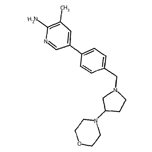 Cc1cc(-c2ccc(CN3CCC(N4CCOCC4)C3)cc2)cnc1N